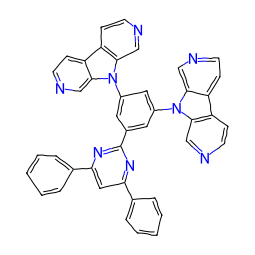 c1ccc(-c2cc(-c3ccccc3)nc(-c3cc(-n4c5cnccc5c5ccncc54)cc(-n4c5cnccc5c5ccncc54)c3)n2)cc1